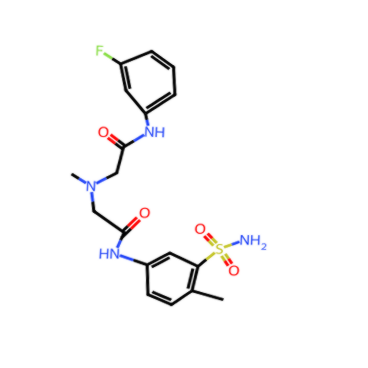 Cc1ccc(NC(=O)CN(C)CC(=O)Nc2cccc(F)c2)cc1S(N)(=O)=O